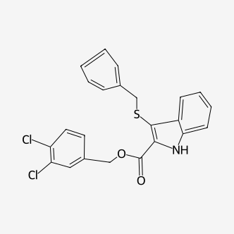 O=C(OCc1ccc(Cl)c(Cl)c1)c1[nH]c2ccccc2c1SCc1ccccc1